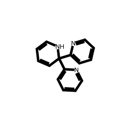 C1=CNC(c2ccccn2)(c2ccccn2)C=C1